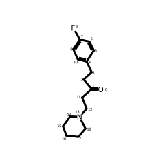 O=C(CCc1ccc(F)cc1)CCN1CCCCC1